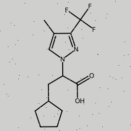 Cc1cn(C(CC2CCCC2)C(=O)O)nc1C(F)(F)F